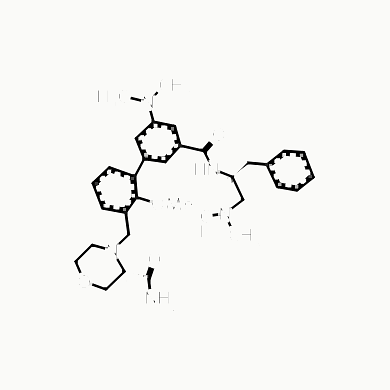 COc1c(CN2CCOC[C@H]2C(N)=O)cccc1-c1cc(C(=O)N[C@@H](Cc2ccccc2)CN(C)C)cc(N(C)C)c1